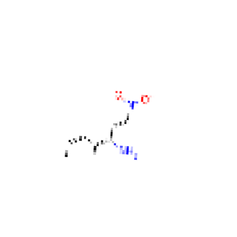 C\C=C/C(C)=C(N)\C=C\[N+](=O)[O-]